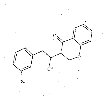 [C-]#[N+]c1cccc(CC(O)C2COc3ccccc3C2=O)c1